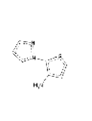 Nc1ccsc1-n1cccn1